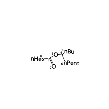 CCCCCCC(=O)OC(CCCC)CCCCC